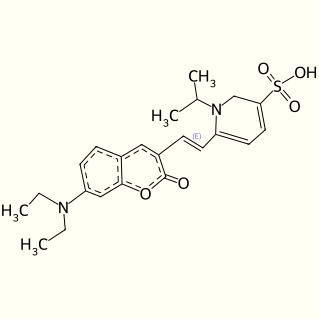 CCN(CC)c1ccc2cc(/C=C/C3=CC=C(S(=O)(=O)O)CN3C(C)C)c(=O)oc2c1